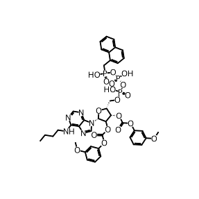 CCCCNc1ncnc2c1ncn2[C@@H]1O[C@H](COP(=O)(O)OP(=O)(O)OP(=O)(O)Cc2cccc3ccccc23)[C@H](OC(=O)Oc2cccc(OC)c2)C1OC(=O)Oc1cccc(OC)c1